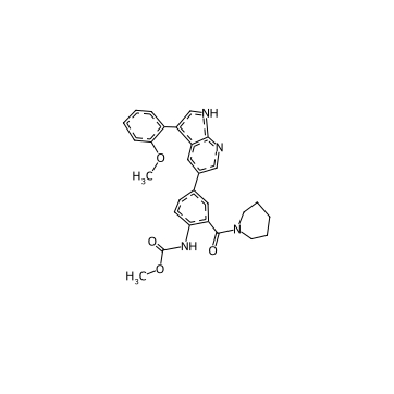 COC(=O)Nc1ccc(-c2cnc3[nH]cc(-c4ccccc4OC)c3c2)cc1C(=O)N1CCCCC1